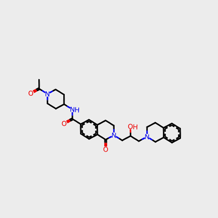 CC(=O)N1CCC(NC(=O)c2ccc3c(c2)CCN(CC(O)CN2CCc4ccccc4C2)C3=O)CC1